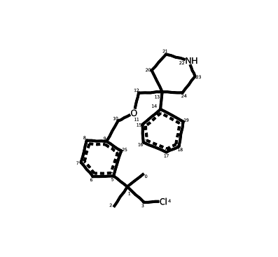 CC(C)(CCl)c1cccc(COCC2(c3ccccc3)CCNCC2)c1